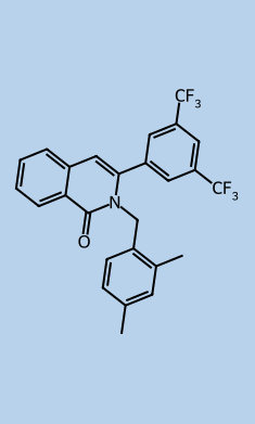 Cc1ccc(Cn2c(-c3cc(C(F)(F)F)cc(C(F)(F)F)c3)cc3ccccc3c2=O)c(C)c1